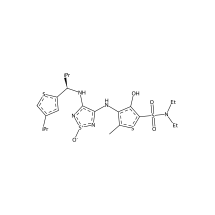 CCN(CC)S(=O)(=O)c1sc(C)c(Nc2n[s+]([O-])nc2N[C@@H](c2cc(C(C)C)cs2)C(C)C)c1O